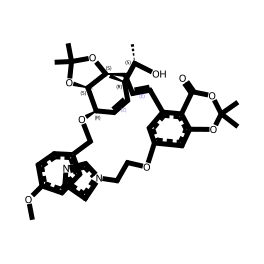 COc1ccc(CO[C@H](/C=C\[C@@H](C)[C@H](C)O)[C@H]2OC(C)(C)O[C@H]2C/C=C/c2cc(OCCn3ccnc3)cc3c2C(=O)OC(C)(C)O3)cc1